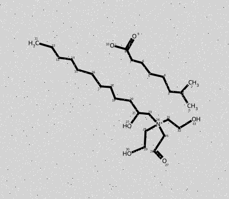 CC(C)CCCCCC(=O)[O-].CCCCCCCCCCC(O)C[N+](CC=O)(CCO)CCO